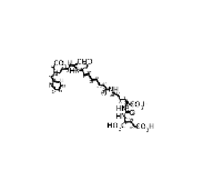 O=CC(CCCCN(CC(=O)O)Cc1ccccn1)NC(=O)CCCCCCC(=O)NCCCC[C@H](NC(=O)N[C@@H](CCC(=O)O)C(=O)O)C(=O)O